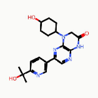 CC(C)(O)c1ccc(-c2cnc3c(n2)N(C2CCC(O)CC2)CC(=O)N3)cn1